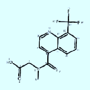 CN(CC(=O)O)C(=S)c1ccnc2c(C(F)(F)F)cccc12